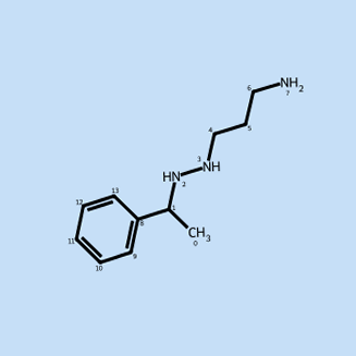 CC(NNCCCN)c1ccccc1